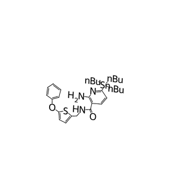 CCC[CH2][Sn]([CH2]CCC)([CH2]CCC)[c]1ccc(C(=O)NCc2ccc(Oc3ccccc3)s2)c(N)n1